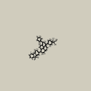 CC1(C)c2ccccc2-c2ccc(-c3ccc4ccc5c(-c6ccc([Si](C)(C)C)cc6)cc(-c6ccccc6)c6ccc3c4c56)cc21